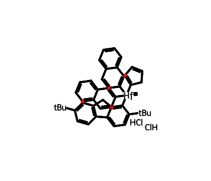 Cl.Cl.[CH2]=[Hf]([C]1=CC=CC1)([c]1ccc2ccccc2c1)([c]1ccc2ccccc2c1)[c]1c(C(C)(C)C)ccc2c1Cc1cc(C(C)(C)C)ccc1-2